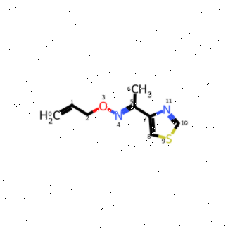 C=CCON=C(C)c1cs[c]n1